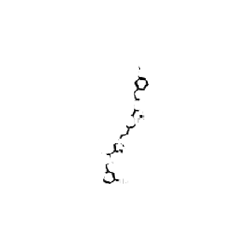 CC(C)(C)c1ccnc(CNC(=O)c2cn(CCC(F)Cn3cc(NC(=O)Cc4cccc(OC(F)(F)F)c4)nn3)nn2)c1